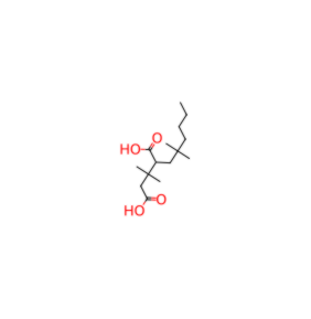 CCCCC(C)(C)CC(C(=O)O)C(C)(C)CC(=O)O